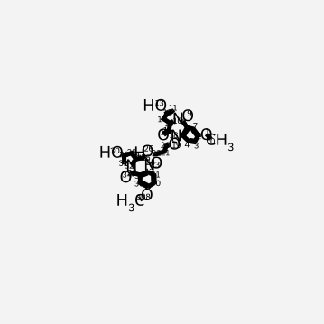 COc1ccc2c(c1)C(=O)N1CC(O)CC1C(=O)N2OCCCON1C(=O)[C@@H]2C[C@@H](O)CN2C(=O)c2cc(OC)ccc21